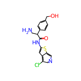 NCC(C(=O)Nc1cc2c(Cl)cncc2s1)c1ccc(CO)cc1